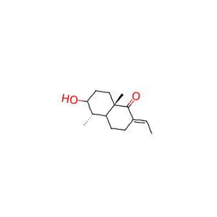 CC=C1CCC2[C@H](C)C(O)CC[C@]2(C)C1=O